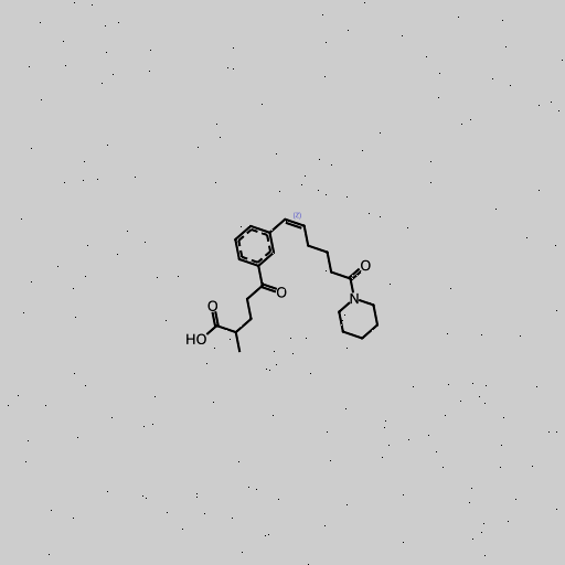 CC(CCC(=O)c1cccc(/C=C\CCCC(=O)N2CCCCC2)c1)C(=O)O